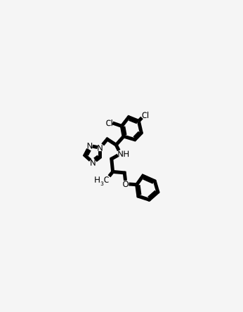 CC(CNC(Cn1cncn1)c1ccc(Cl)cc1Cl)COc1ccccc1